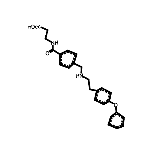 CCCCCCCCCCCCNC(=O)c1ccc(CNCCc2ccc(Oc3ccccc3)cc2)cc1